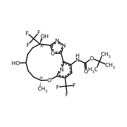 C[C@@H]1CCC(O)CC[C@](O)(C(F)(F)F)c2nnc(o2)-c2nc(c(C(F)(F)F)cc2NC(=O)OC(C)(C)C)O1